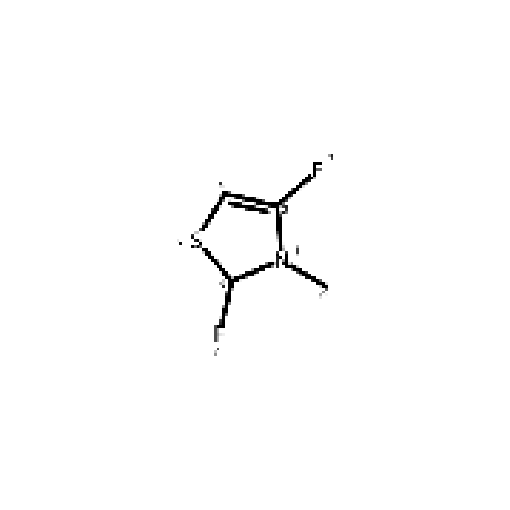 CN1C(F)=CSC1F